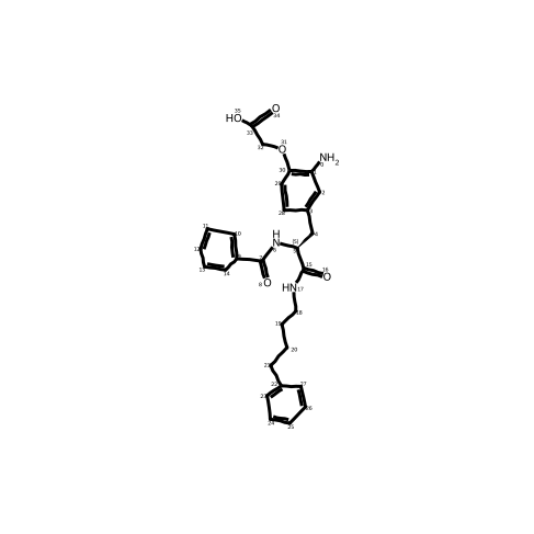 Nc1cc(C[C@H](NC(=O)c2ccccc2)C(=O)NCCCCc2ccccc2)ccc1OCC(=O)O